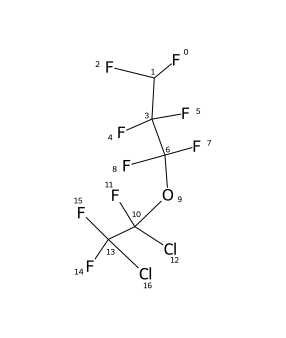 FC(F)C(F)(F)C(F)(F)OC(F)(Cl)C(F)(F)Cl